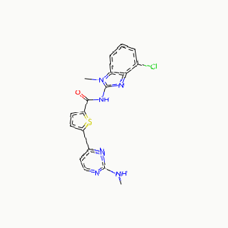 CNc1nccc(-c2ccc(C(=O)Nc3nc4c(Cl)cccc4n3C)s2)n1